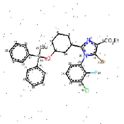 CCOC(=O)c1nc(C2CCCC(O[Si](c3ccccc3)(c3ccccc3)C(C)(C)C)C2)n(-c2cccc(Cl)c2F)c1Br